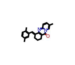 Cc1ccc(C)c(C=C2CCCc3c2nc2ccc(C)cn2c3=O)c1